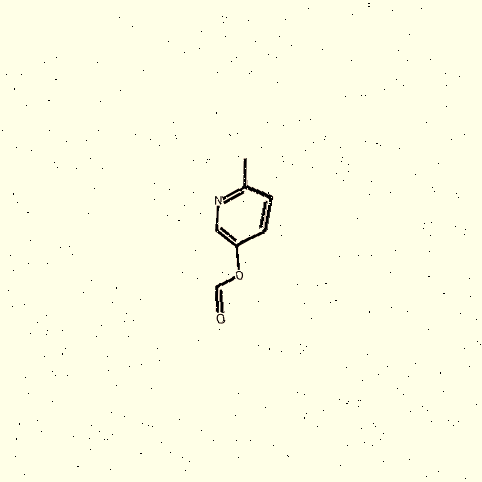 Cc1ccc(OC=O)cn1